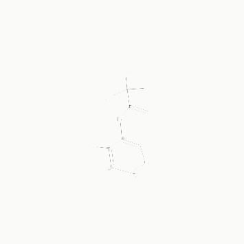 CC(O)(C(=O)Nc1ccccc1F)C(F)(F)F